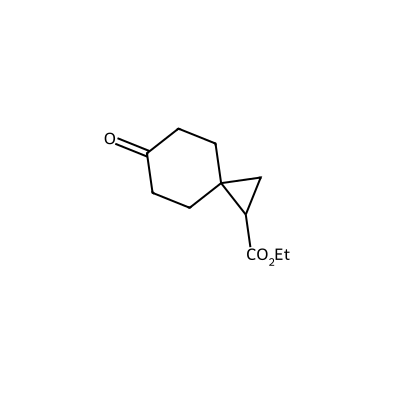 CCOC(=O)C1CC12CCC(=O)CC2